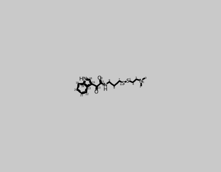 CN(C)CCSSCCCNC(=O)C(=O)c1c[nH]c2ccccc12